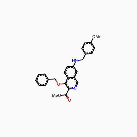 COC(=O)c1ncc2cc(NCc3ccc(OC)cc3)ccc2c1OCc1ccccc1